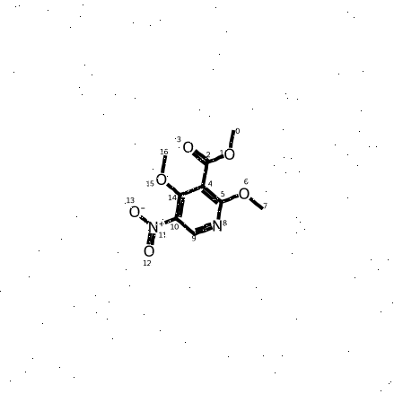 COC(=O)c1c(OC)ncc([N+](=O)[O-])c1OC